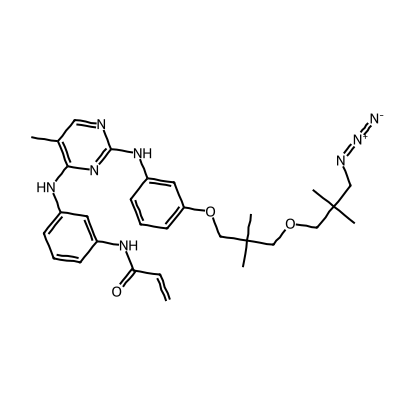 C=CC(=O)Nc1cccc(Nc2nc(Nc3cccc(OCC(C)(C)COCC(C)(C)CN=[N+]=[N-])c3)ncc2C)c1